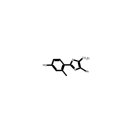 CCOC(=O)c1sc(-c2ccc(O)cc2C)nc1C(C)C